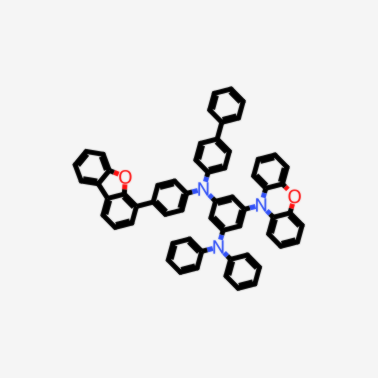 c1ccc(-c2ccc(N(c3ccc(-c4cccc5c4oc4ccccc45)cc3)c3cc(N(c4ccccc4)c4ccccc4)cc(N4c5ccccc5Oc5ccccc54)c3)cc2)cc1